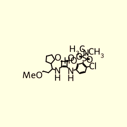 COCCC(Nc1c(Nc2ccc(Cl)c(S(=O)(=O)N(C)C)c2O)c(=O)c1=O)C1CCCC1